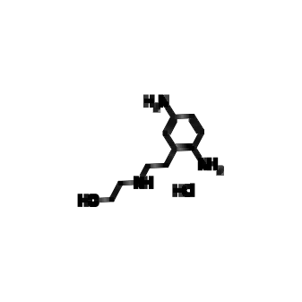 Cl.Nc1ccc(N)c(CCNCCO)c1